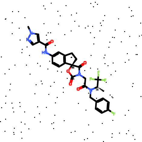 C[C@H](N(Cc1ccc(F)cc1)C(=O)CN1C(=O)O[C@@]2(CCc3cc(NC(=O)c4cnn(C)c4)ccc32)C1=O)C(F)(F)F